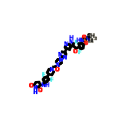 CCN(C)S(=O)(=O)Nc1ccc(F)c(C(=O)c2c[nH]c3ncc(-c4cnc(N5CCN(C(=O)CN6CCC(c7c(F)cc(NC8CCC(=O)NC8=O)cc7F)CC6)CC5)nc4)cc23)c1F